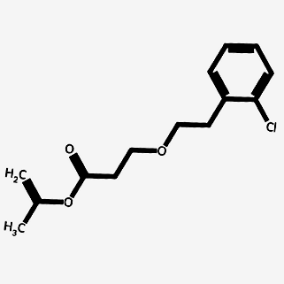 C=C(C)OC(=O)CCOCCc1ccccc1Cl